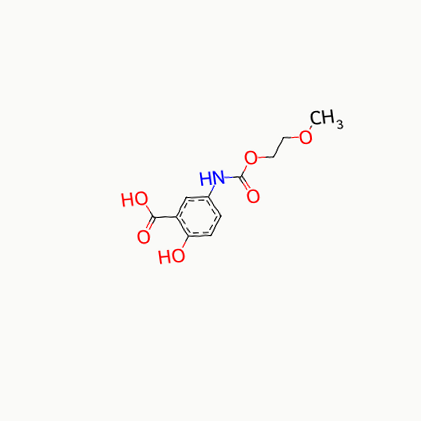 COCCOC(=O)Nc1ccc(O)c(C(=O)O)c1